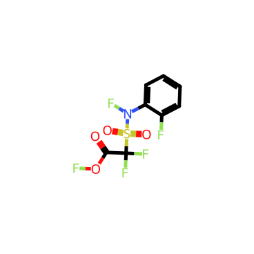 O=C(OF)C(F)(F)S(=O)(=O)N(F)c1ccccc1F